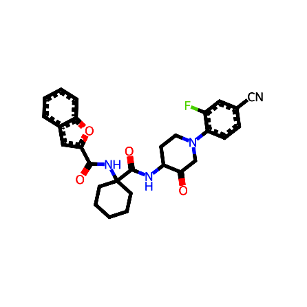 N#Cc1ccc(N2CCC(NC(=O)C3(NC(=O)c4cc5ccccc5o4)CCCCC3)C(=O)C2)c(F)c1